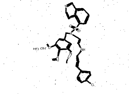 COc1cc(CN(CCNCC=Cc2ccc(Cl)cc2)S(=O)(=O)c2cccc3cnccc23)cc(OC)c1OC.Cl.Cl